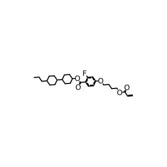 C=CC(=O)OCCCCOc1ccc(C(=O)OC2CCC(C3CCC(CCC)CC3)CC2)c(F)c1